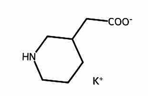 O=C([O-])CC1CCCNC1.[K+]